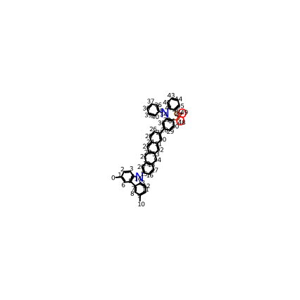 Cc1ccc2c(c1)c1cc(C)ccc1n2-c1ccc2c(c1)Cc1cc3ccc(-c4ccc5c(c4)N(c4ccccc4)c4ccccc4S5(=O)=O)cc3cc1C2